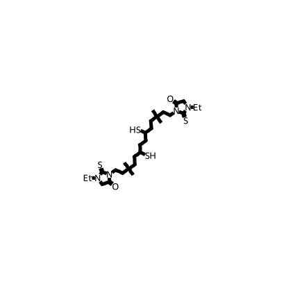 CCN1CC(=O)N(CCC(C)(C)CCC(S)CCC(S)CCC(C)(C)CCN2C(=O)CN(CC)C2=S)C1=S